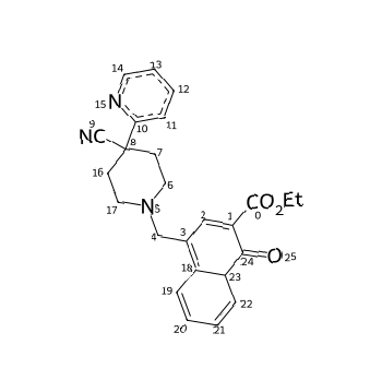 CCOC(=O)C1=CC(CN2CCC(C#N)(c3ccccn3)CC2)=C2C=CC=CC2C1=O